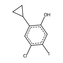 Oc1cc(I)c(Cl)cc1C1CC1